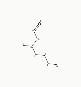 CCCCC(C)CC=O